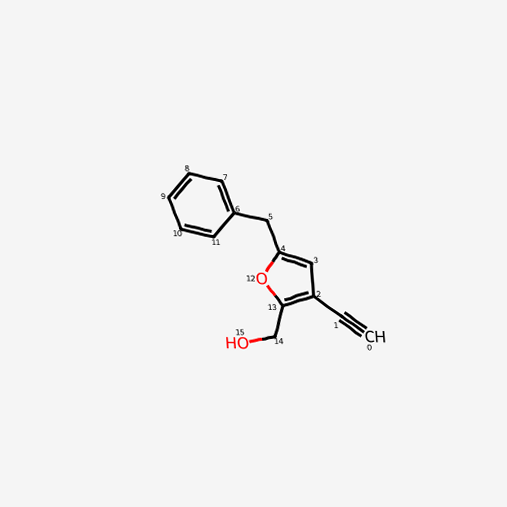 C#Cc1cc(Cc2ccccc2)oc1CO